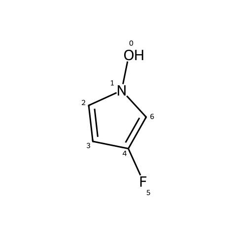 On1ccc(F)c1